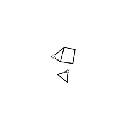 C1CC2OC12.C1CO1